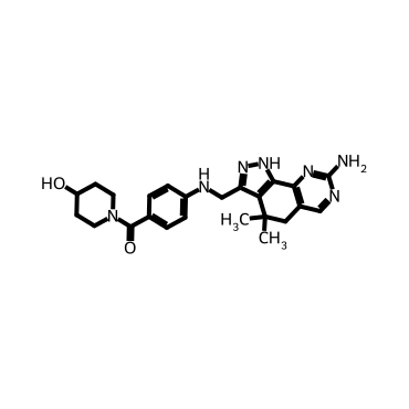 CC1(C)Cc2cnc(N)nc2-c2[nH]nc(CNc3ccc(C(=O)N4CCC(O)CC4)cc3)c21